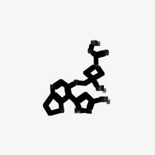 CC1(COc2cnc3c(c2-c2cc(N)n[nH]2)OCC3)CN(C(=O)OC(C)(C)C)C1